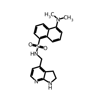 CN(C)c1cccc2c(S(=O)(=O)NCc3ccnc4c3CCN4)cccc12